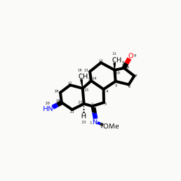 CO/N=C1\CC2C3CCC(=O)[C@@]3(C)CCC2[C@@]2(C)CCC(=N)C[C@H]12